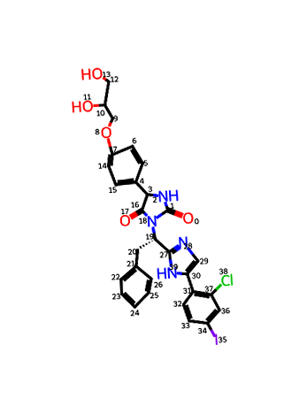 O=C1NC(c2ccc(OCC(O)CO)cc2)C(=O)N1[C@@H](Cc1ccccc1)c1ncc(-c2ccc(I)cc2Cl)[nH]1